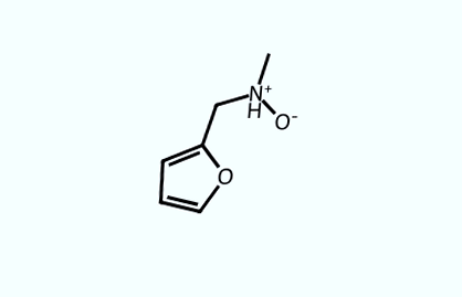 C[NH+]([O-])Cc1ccco1